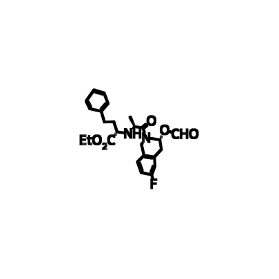 CCOC(=O)[C@H](CCc1ccccc1)N[C@@H](C)C(=O)N1Cc2ccc(F)cc2C[C@H]1OC=O